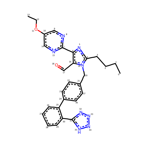 CCCCc1nc(-c2ncc(OCC)cn2)c(C=O)n1Cc1ccc(-c2ccccc2-c2nnn[nH]2)cc1